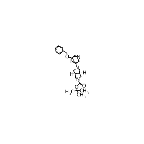 CC(C)(C)OC(=O)N1C[C@@H]2CN(c3cncc(OCc4ccccc4)n3)C[C@@H]2C1